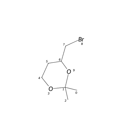 CC1(C)OCCC(CBr)O1